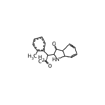 CC(=O)C(c1ccccc1C)C1NC2C=CC=CC2C1=O